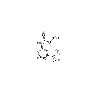 CC(C)(C)OC(=O)Nc1cc(C2(C(F)(F)F)CC2)ccn1